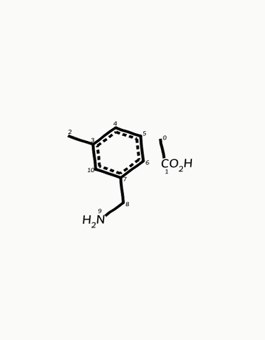 CC(=O)O.Cc1cccc(CN)c1